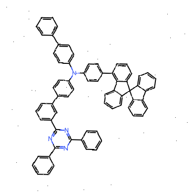 c1ccc(-c2ccc(N(c3ccc(-c4cccc(-c5nc(-c6ccccc6)nc(-c6ccccc6)n5)c4)cc3)c3ccc(-c4cccc5c4-c4ccccc4C54c5ccccc5-c5ccccc54)cc3)cc2)cc1